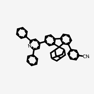 N#Cc1cccc(-c2cccc3c2C2(c4cc(-c5cc(-c6ccccc6)nc(-c6ccccc6)c5)ccc4-3)C3CC4CC(C3)CC2C4)c1